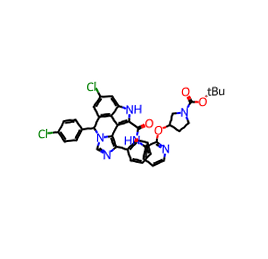 CC(C)(C)OC(=O)N1CCC(Oc2ncccc2NC(=O)c2[nH]c3cc(Cl)cc4c3c2-c2c(-c3ccccc3)ncn2C4c2ccc(Cl)cc2)C1